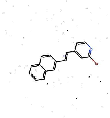 Brc1cc(/C=C/c2ccc3ccccc3c2)ccn1